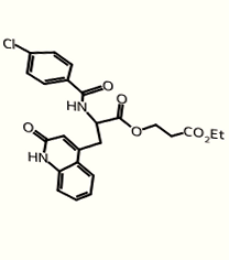 CCOC(=O)CCOC(=O)C(Cc1cc(=O)[nH]c2ccccc12)NC(=O)c1ccc(Cl)cc1